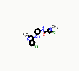 Cn1cc(C(=O)N[C@@H]2CCC[C@H](Nc3cc(C(F)(F)F)nc4ccc(Cl)cc34)C2)cc1Cl